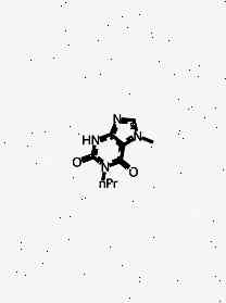 CCCn1c(=O)[nH]c2ncn(C)c2c1=O